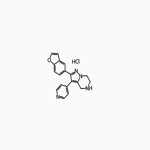 Cl.c1cc(-c2c(-c3ccc4occc4c3)nn3c2CNCC3)ccn1